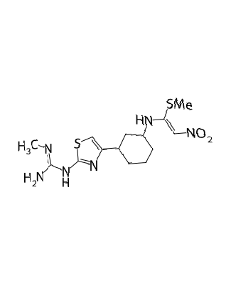 CN=C(N)Nc1nc(C2CCCC(NC(=C[N+](=O)[O-])SC)C2)cs1